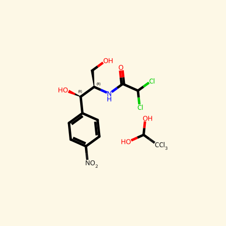 O=C(N[C@H](CO)[C@H](O)c1ccc([N+](=O)[O-])cc1)C(Cl)Cl.OC(O)C(Cl)(Cl)Cl